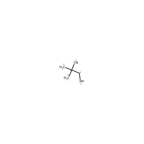 [CH2]C(C)(C#N)CCCC